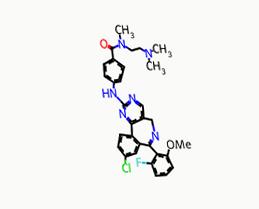 COc1cccc(F)c1C1=NCc2cnc(Nc3ccc(C(=O)N(C)CCN(C)C)cc3)nc2-c2ccc(Cl)cc21